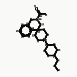 CCCC1CCC(N2CCC3(CC2)CN(C(C)=O)Cc2ccccc23)CC1